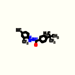 CC(C)(c1ccc(C(=O)NNc2ccc(C#N)cc2C(F)(F)F)cc1)C(F)(F)F